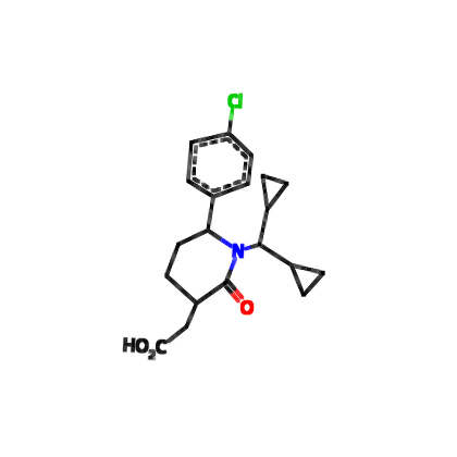 O=C(O)CC1CCC(c2ccc(Cl)cc2)N(C(C2CC2)C2CC2)C1=O